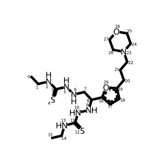 CCNC(=S)NNCC(NNC(=S)NCC)c1ccc(CCCN2CCOCC2)o1